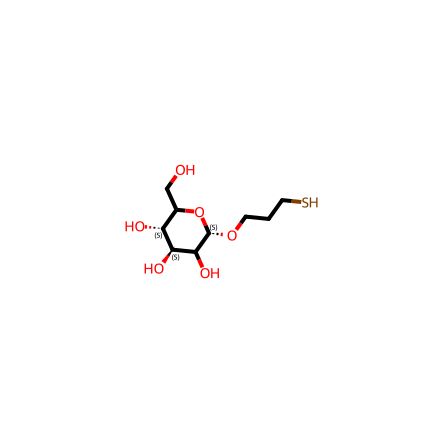 OCC1O[C@H](OCCCS)C(O)[C@@H](O)[C@@H]1O